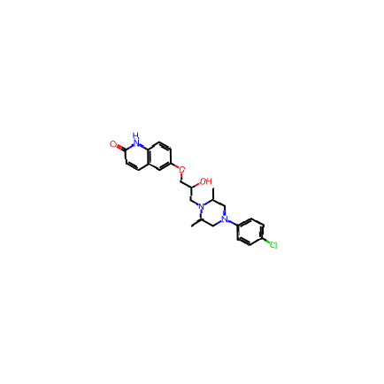 CC1CN(c2ccc(Cl)cc2)CC(C)N1CC(O)COc1ccc2[nH]c(=O)ccc2c1